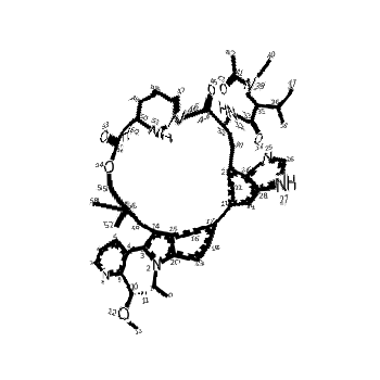 CCn1c(-c2cccnc2[C@H](C)OC)c2c3cc(ccc31)-c1cc(c3nc[nH]c3c1)C[C@H](NC(=O)C(C(C)C)N(C)C(C)=O)C(=O)N1CCC[C@H](N1)C(=O)OCC(C)(C)C2